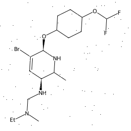 CCN(C)CN[C@H]1C=C(Br)[C@@H](OC2CCC(OC(F)F)CC2)NC1C